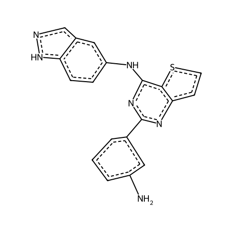 Nc1cccc(-c2nc(Nc3ccc4[nH]ncc4c3)c3sccc3n2)c1